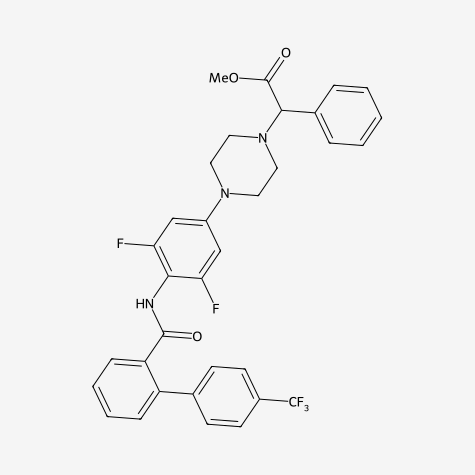 COC(=O)C(c1ccccc1)N1CCN(c2cc(F)c(NC(=O)c3ccccc3-c3ccc(C(F)(F)F)cc3)c(F)c2)CC1